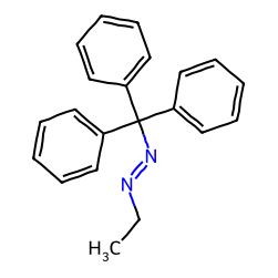 CCN=NC(c1ccccc1)(c1ccccc1)c1ccccc1